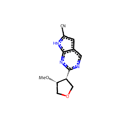 CO[C@H]1COC[C@H]1c1ncc2cc(C#N)[nH]c2n1